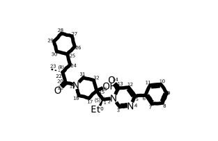 CC[C@H](n1cnc(-c2ccccc2)cc1=O)C1(O)CCN(C(=O)[C@H](C)CC2CCCCC2)CC1